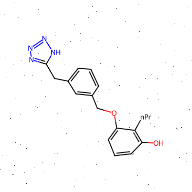 CCCc1c(O)[c]ccc1OCc1cccc(Cc2nnn[nH]2)c1